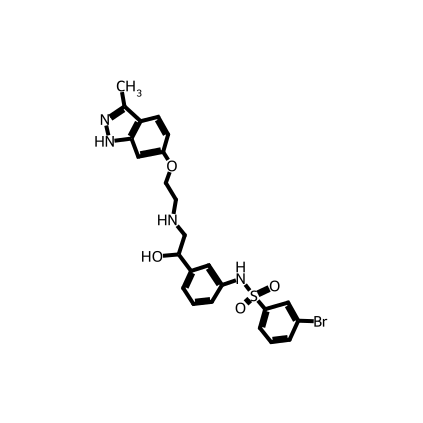 Cc1n[nH]c2cc(OCCNCC(O)c3cccc(NS(=O)(=O)c4cccc(Br)c4)c3)ccc12